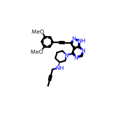 CC#CCN[C@H]1CCCN(c2ncnc3[nH]nc(C#Cc4cc(OC)cc(OC)c4)c23)C1